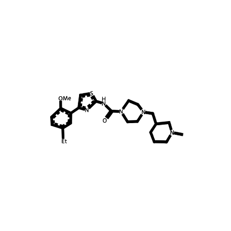 CCc1ccc(OC)c(-c2csc(NC(=O)N3CCN(CC4CCCN(C)C4)CC3)n2)c1